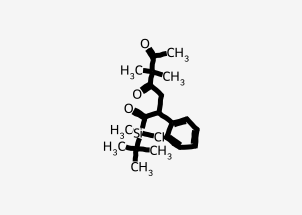 CC(=O)C(C)(C)C(=O)CC(C(=O)[Si](C)(C)C(C)(C)C)c1ccccc1